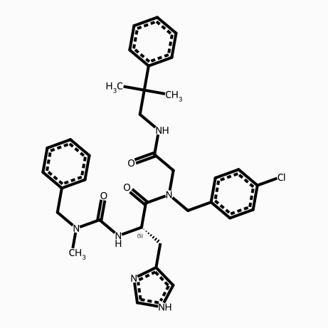 CN(Cc1ccccc1)C(=O)N[C@@H](Cc1c[nH]cn1)C(=O)N(CC(=O)NCC(C)(C)c1ccccc1)Cc1ccc(Cl)cc1